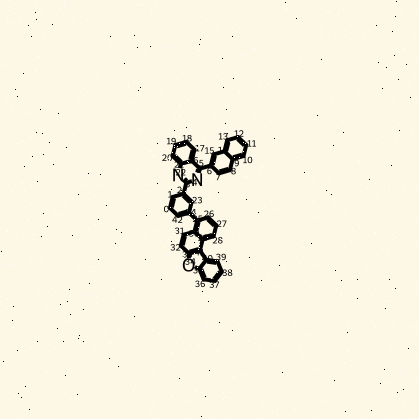 c1cc(-c2nc(-c3ccc4ccccc4c3)c3ccccc3n2)cc(-c2cccc3c2ccc2oc4ccccc4c23)c1